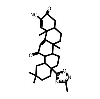 Cc1noc(C23CCC4C(C(=O)C=C5C6(C)C=C(C#N)C(=O)CC6CCC54C)C2CC(C)(C)CC3)n1